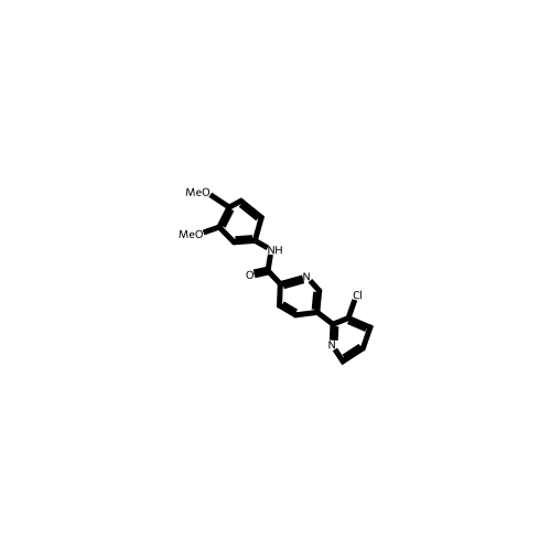 COc1ccc(NC(=O)c2ccc(-c3ncccc3Cl)cn2)cc1OC